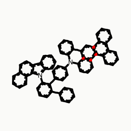 c1ccc(-c2ccccc2N(c2ccc(-c3c(-c4ccccc4)cccc3-n3c4ccccc4c4ccc5ccccc5c43)cc2)c2cccc(-c3cc4ccccc4c4ccccc34)c2)cc1